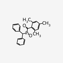 Cc1cc(C)c(C(=O)[P](=O)C(c2ccccc2)c2ccccc2)c(C)c1